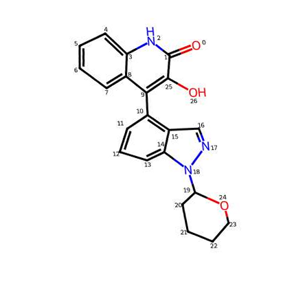 O=c1[nH]c2ccccc2c(-c2cccc3c2cnn3C2CCCCO2)c1O